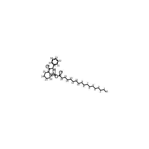 CCCCCCCCCCCCCCCCCC(=O)ONN1CCCCC1C(=O)Cc1ccccc1